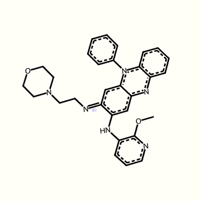 COc1ncccc1Nc1cc2nc3ccccc3n(-c3ccccc3)c-2c/c1=N\CCN1CCOCC1